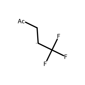 CC(=O)C[CH]C(F)(F)F